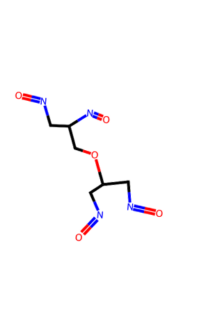 O=NCC(COC(CN=O)CN=O)N=O